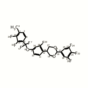 Cc1ccc(C(F)(F)Oc2ccc(C3COC(c4cc(F)c(F)c(F)c4)OC3)c(F)c2)c(F)c1F